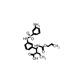 C=CCOC(=O)NC(c1cccc(NS(=O)(=O)c2cccc(N)c2)c1)C(CC)C(=O)O